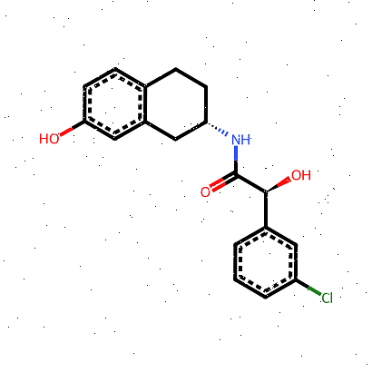 O=C(N[C@H]1CCc2ccc(O)cc2C1)[C@@H](O)c1cccc(Cl)c1